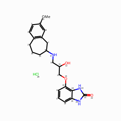 COc1ccc2c(c1)CC(NCC(O)COc1cccc3[nH]c(=O)[nH]c13)CCC2.Cl